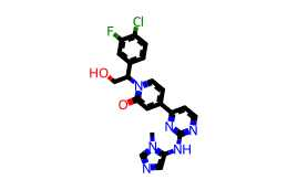 Cn1cncc1Nc1nccc(-c2ccn(C(CO)c3ccc(Cl)c(F)c3)c(=O)c2)n1